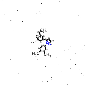 C=C/C=C\C(=C/C=C)n1nccc1C(/C=C\C)=C/C=C\C